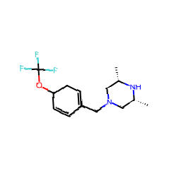 C[C@@H]1CN(CC2=CCC(OC(F)(F)F)C=C2)C[C@H](C)N1